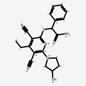 CCc1c(C#N)c(SC(C(N)=O)c2ccccc2)nc(N2CCC(O)C2)c1C#N